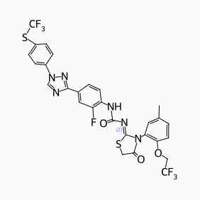 Cc1ccc(OCC(F)(F)F)c(N2C(=O)CS/C2=N\C(=O)Nc2ccc(-c3ncn(-c4ccc(SC(F)(F)F)cc4)n3)cc2F)c1